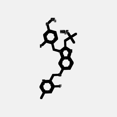 Cc1cnc(COc2ccc3nc(CC(C)(C)C(=O)O)n(Cc4ccc(OC(F)(F)F)cc4F)c3c2)c(F)c1